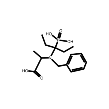 CCC(CC)(N(Cc1ccccc1)C(C)C(=O)O)P(=O)(O)O